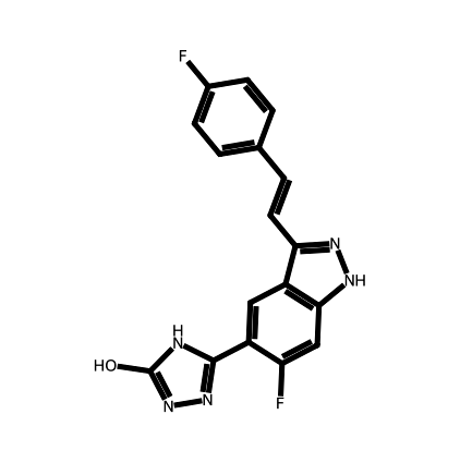 Oc1nnc(-c2cc3c(C=Cc4ccc(F)cc4)n[nH]c3cc2F)[nH]1